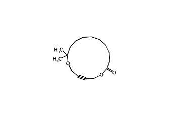 CC1(C)CCCCCCCCC(=O)OCC#CCO1